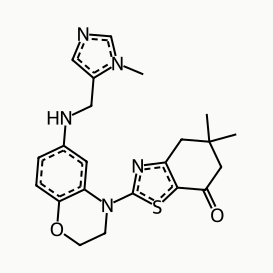 Cn1cncc1CNc1ccc2c(c1)N(c1nc3c(s1)C(=O)CC(C)(C)C3)CCO2